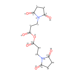 O=C(CCN1C(=O)CCC1=O)OC(=O)CCN1C(=O)CCC1=O